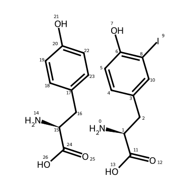 N[C@@H](Cc1ccc(O)c(I)c1)C(=O)O.N[C@@H](Cc1ccc(O)cc1)C(=O)O